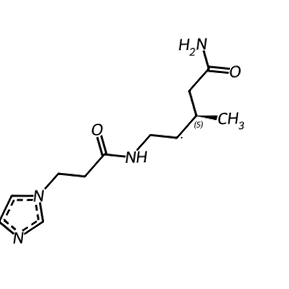 C[C@@H]([CH]CNC(=O)CCn1ccnc1)CC(N)=O